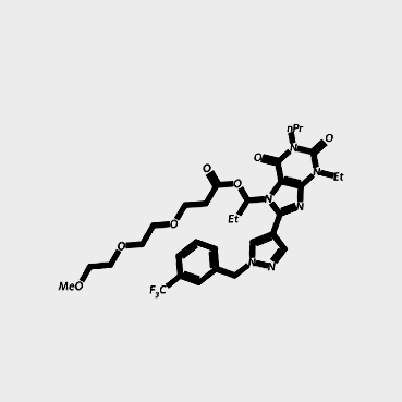 CCCn1c(=O)c2c(nc(-c3cnn(Cc4cccc(C(F)(F)F)c4)c3)n2C(CC)OC(=O)CCOCCOCCOC)n(CC)c1=O